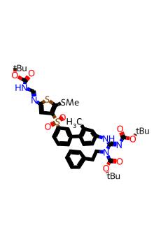 CSc1sc(/N=C/NC(=O)OC(C)(C)C)cc1S(=O)(=O)c1cccc(-c2ccc(N/C(=N\C(=O)OC(C)(C)C)N(CCc3ccccc3)C(=O)OC(C)(C)C)cc2C)c1